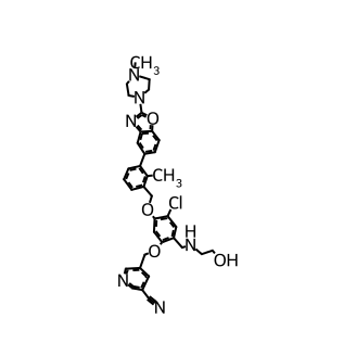 Cc1c(COc2cc(OCc3cncc(C#N)c3)c(CNCCO)cc2Cl)cccc1-c1ccc2oc(N3CCN(C)CC3)nc2c1